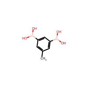 Cc1cc(B(O)O)cc(B(O)O)c1